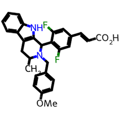 COc1ccc(CN2C(C)Cc3c([nH]c4ccccc34)C2c2c(F)cc(/C=C/C(=O)O)cc2F)cc1